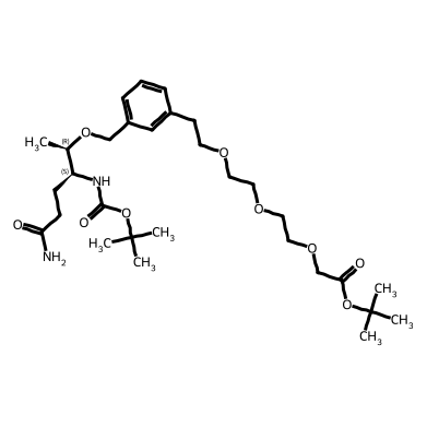 C[C@@H](OCc1cccc(CCOCCOCCOCC(=O)OC(C)(C)C)c1)[C@H](CCC(N)=O)NC(=O)OC(C)(C)C